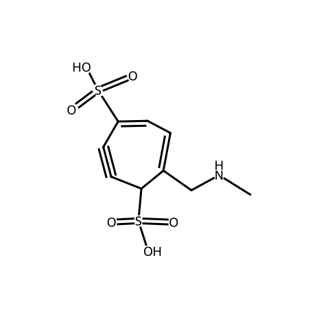 CNCC1=CC=C(S(=O)(=O)O)C#CC1S(=O)(=O)O